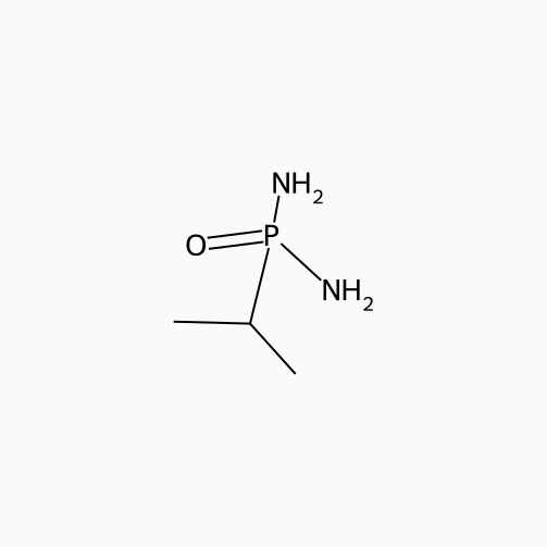 CC(C)P(N)(N)=O